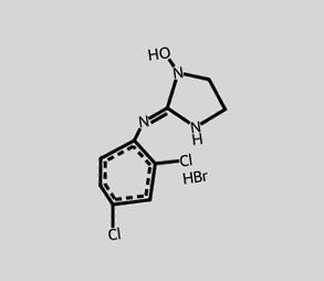 Br.ON1CCN/C1=N\c1ccc(Cl)cc1Cl